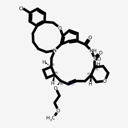 COCCO[C@H]1/C=C/C[C@H]2COCC[C@@H]2S(=O)(=O)NC(=O)c2ccc3c(c2)N(CCCCc2cc(Cl)ccc2CO3)C[C@@H]2CC[C@H]21